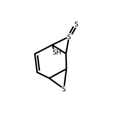 S=S1C2C3SC3C=CC21S